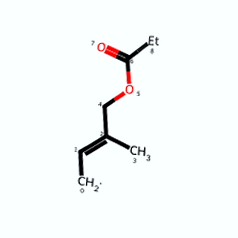 [CH2]/C=C(\C)COC(=O)CC